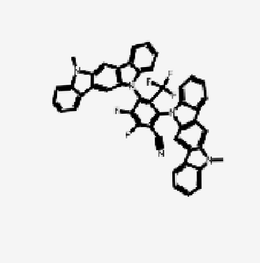 Cn1c2ccccc2c2cc3c(cc21)c1ccccc1n3-c1c(F)c(F)c(C#N)c(-n2c3ccccc3c3cc4c(cc32)c2ccccc2n4C)c1C(F)(F)F